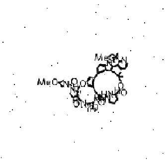 CCn1c(-c2cccnc2[C@H](C)OC)c2c3cc(ccc31)-c1cc3cc(c1)OC[C@@H]1[C@H](CCN1C(=O)N1CC(OC)C1)C(=O)N(C)[C@@H](C(C)C)C(=O)N[C@@H](C3)C(=O)N1CCC[C@H](N1)C(=O)OCC(C)(C)C2